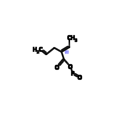 C=CC/C(=C\C)C(=O)OP=O